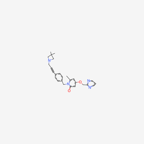 Cc1cc(OCc2ncccn2)cc(=O)n1Cc1ccc(C#CCN2CC(C)(C)C2)cc1